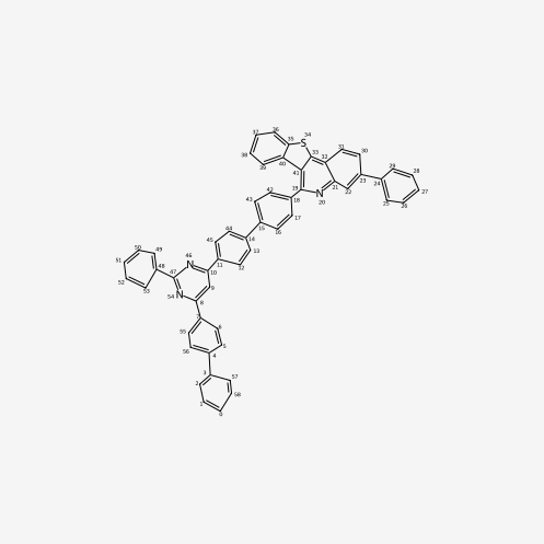 c1ccc(-c2ccc(-c3cc(-c4ccc(-c5ccc(-c6nc7cc(-c8ccccc8)ccc7c7sc8ccccc8c67)cc5)cc4)nc(-c4ccccc4)n3)cc2)cc1